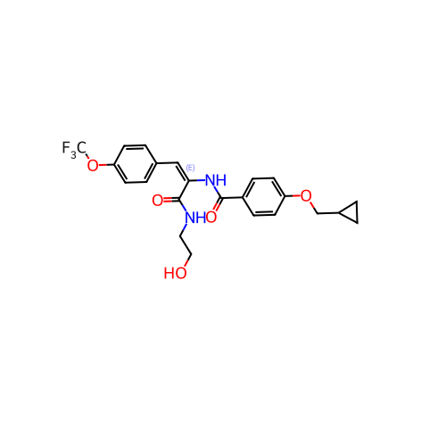 O=C(NCCO)/C(=C\c1ccc(OC(F)(F)F)cc1)NC(=O)c1ccc(OCC2CC2)cc1